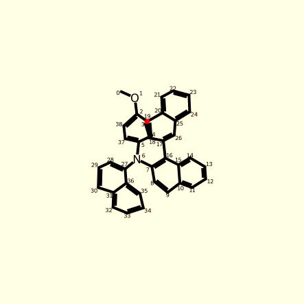 COc1ccc(N(c2ccc3ccccc3c2-c2ccc3ccccc3c2)c2cccc3ccccc23)cc1